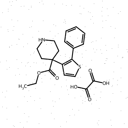 CCOC(=O)C1(c2ccsc2-c2ccccc2)CCNCC1.O=C(O)C(=O)O